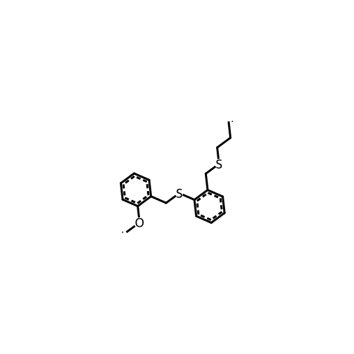 [CH2]CCSCc1ccccc1SCc1ccccc1O[CH2]